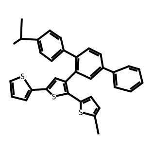 Cc1ccc(-c2sc(-c3cccs3)cc2-c2cc(-c3ccccc3)ccc2-c2ccc(C(C)C)cc2)s1